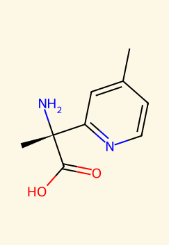 Cc1ccnc([C@@](C)(N)C(=O)O)c1